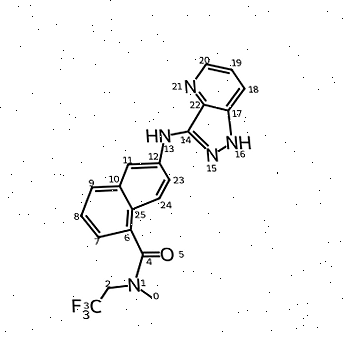 CN(CC(F)(F)F)C(=O)c1cccc2cc(Nc3n[nH]c4cccnc34)ccc12